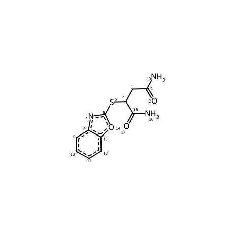 NC(=O)CC(Sc1nc2ccccc2o1)C(N)=O